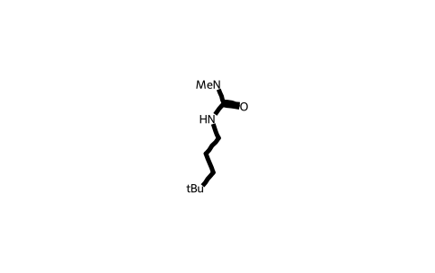 CNC(=O)NCCCC(C)(C)C